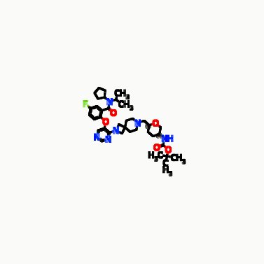 CC(C)N(C(=O)c1cc(F)ccc1Oc1cncnc1N1CC2(CCN(C[C@@H]3CC[C@@H](NC(=O)OC(C)(C)C)CO3)CC2)C1)C1CCCC1